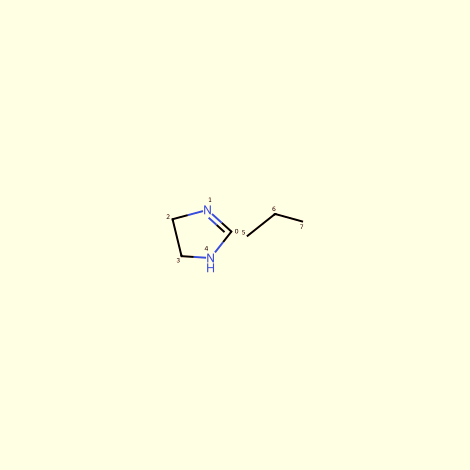 C1=NCCN1.CCC